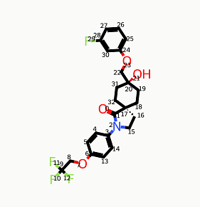 O=C1N(c2ccc(OCC(F)(F)F)cc2)CC[C@]12CC[C@@](O)(COc1cccc(F)c1)CC2